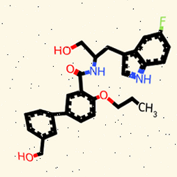 CCCOc1ccc(-c2cccc(CO)c2)cc1C(=O)NC(CO)Cc1c[nH]c2ccc(F)cc12